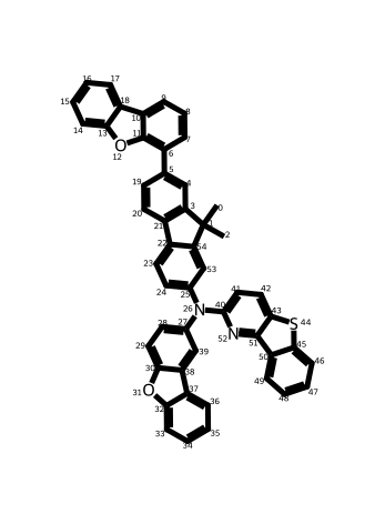 CC1(C)c2cc(-c3cccc4c3oc3ccccc34)ccc2-c2ccc(N(c3ccc4oc5ccccc5c4c3)c3ccc4sc5ccccc5c4n3)cc21